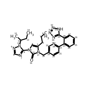 CCCc1cn(-c2ncnn2C(C)CC)c(=O)n1Cc1ccc(-c2ccccc2-c2nnn[nH]2)nc1